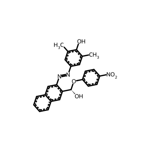 Cc1cc(/N=N/c2cc3ccccc3cc2[C@@H](O)Oc2ccc([N+](=O)[O-])cc2)cc(C)c1O